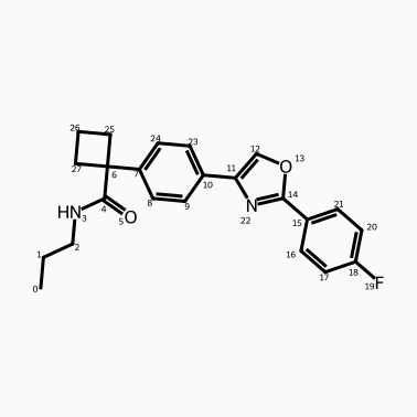 CCCNC(=O)C1(c2ccc(-c3coc(-c4ccc(F)cc4)n3)cc2)CCC1